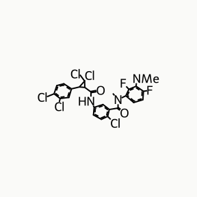 CNc1c(F)ccc(N(C)C(=O)c2cc(NC(=O)C3C(c4ccc(Cl)c(Cl)c4)C3(Cl)Cl)ccc2Cl)c1F